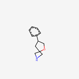 c1ccc(C2COC3(CNC3)C2)cc1